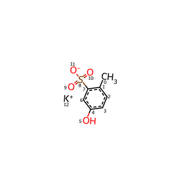 Cc1ccc(O)cc1S(=O)(=O)[O-].[K+]